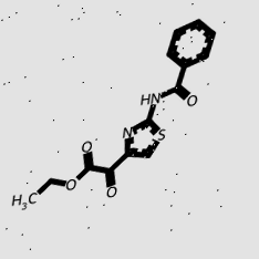 CCOC(=O)C(=O)c1csc(NC(=O)c2ccccc2)n1